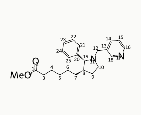 COC(=O)CCCCC[C@@H]1CCN(Cc2cccnc2)[C@@H]1c1ccccc1